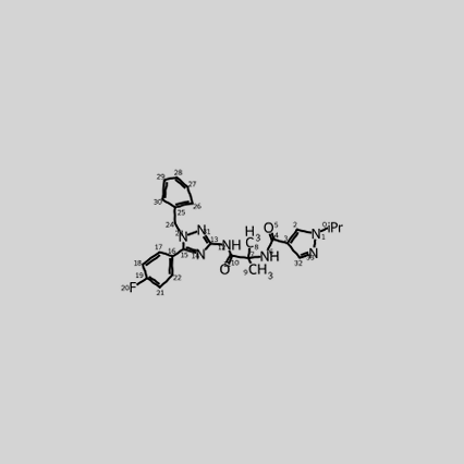 CC(C)n1cc(C(=O)NC(C)(C)C(=O)Nc2nc(-c3ccc(F)cc3)n(Cc3ccccc3)n2)cn1